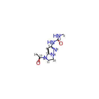 CNC(=O)Nc1cc2n(n1)CCN2C(C)=O